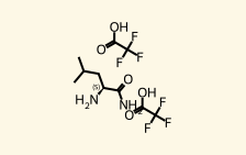 CC(C)C[C@H](N)C(N)=O.O=C(O)C(F)(F)F.O=C(O)C(F)(F)F